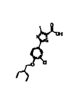 CCC(CC)COc1ccc(-c2nc(C)c(C(=O)O)s2)cc1Cl